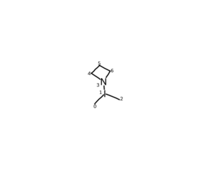 CI(C)N1CCC1